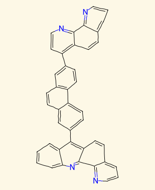 c1cnc2c(c1)ccc1c(-c3ccc4c(ccc5cc(-c6c7ccccc7nc7c6ccc6cccnc67)ccc54)c3)ccnc12